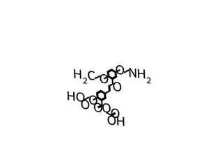 C=CCOc1ccc(OCCN)cc1C(=O)/C=C/c1ccc(OCC(=O)O)c(C(=O)OCC(=O)O)c1